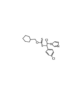 S=C(OCC1CCCCC1)SC(c1ccc(Cl)cc1)C(Cl)n1ccnc1